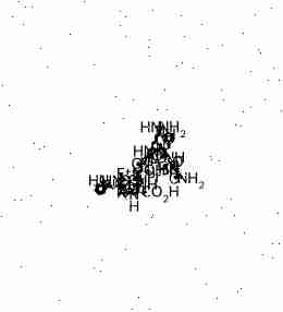 CCC(=O)N[C@H](Cc1c[nH]c2ccccc12)C(=O)N(C)[C@@H](C)C(=O)N[C@@H](CC(=O)O)C(=O)N[C@H](C(=O)N(C)[C@@H](CO)C(=O)NCC(=O)N[C@@H](CCCNC(=N)N)C(=O)N(C)[C@@H](Cc1ccccc1)C(=O)N[C@@H](CS)C(=O)NCC(N)=O)C(C)C